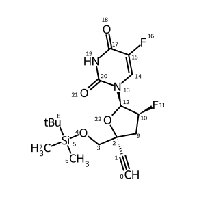 C#C[C@@]1(CO[Si](C)(C)C(C)(C)C)C[C@H](F)[C@H](n2cc(F)c(=O)[nH]c2=O)O1